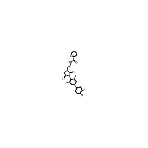 Cc1cc(-c2ccc(F)c(F)c2)cc(C)c1C1C(=O)CC(CCNC(=O)c2ccccn2)C1=O